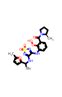 Cc1ccc(C(NC2=NS(=O)(=O)N=C2Nc2cccc(C(=O)N3CCC[C@H]3C)c2OO)C(C)(C)C)o1